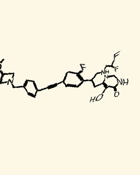 COC1CN(Cc2ccc(C#Cc3ccc(C(CNCC(F)F)Cc4nc[nH]c(=O)c4O)c(F)c3)cc2)C1